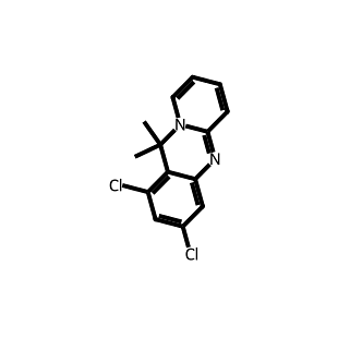 CC1(C)c2c(Cl)cc(Cl)cc2N=C2C=CC=CN21